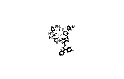 CCc1cnn(C2CC(n3cnc4c(NCC(c5ccccc5)c5ccccc5)nc(N5CCC(NC(=O)NC6CCN(C)C6)C5)nc43)[C@H](O)[C@@H]2O)c1